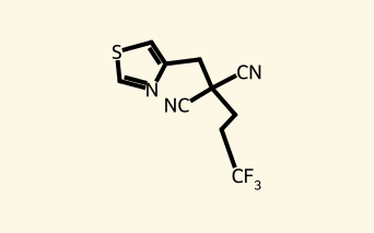 N#CC(C#N)(CCC(F)(F)F)Cc1cscn1